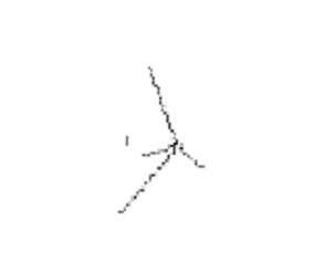 CCCCCCCCCCCCCCCCCC[P+](CCCCCCC)(CCCCCCC)CCCCCCCCCCCCCCCCCC.[I-]